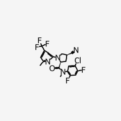 Cc1cc(C(F)(F)F)cc(N2C[C@@H](C#N)C[C@H]2C(=O)N(C)c2cc(Cl)c(F)cc2F)n1